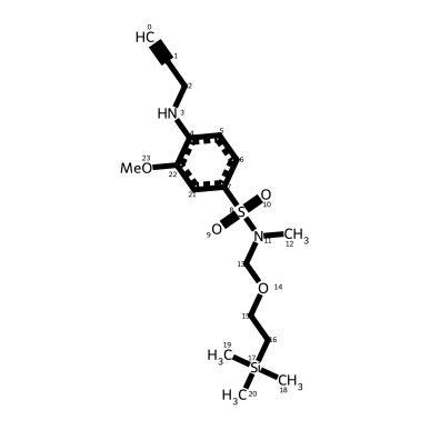 C#CCNc1ccc(S(=O)(=O)N(C)COCC[Si](C)(C)C)cc1OC